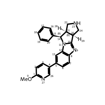 COc1ccc(-c2ccc3nc4n(c3c2)[C@@H](c2ccccc2)[C@H]2CNC[C@@H]42)cn1